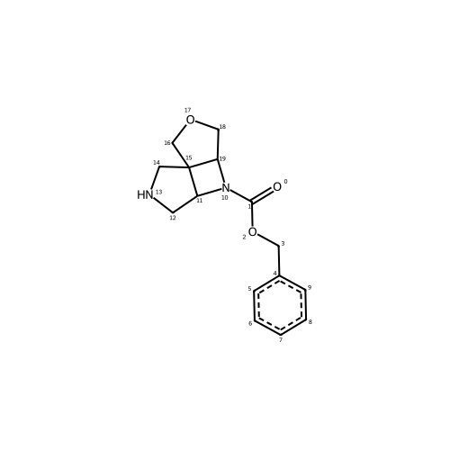 O=C(OCc1ccccc1)N1C2CNCC23COCC13